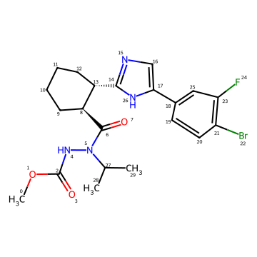 COC(=O)NN(C(=O)[C@H]1CCCC[C@@H]1c1ncc(-c2ccc(Br)c(F)c2)[nH]1)C(C)C